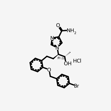 C[C@H](O)[C@@H](CCc1ccccc1OCc1ccc(Br)cc1)n1cnc(C(N)=O)c1.Cl